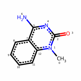 Cn1c(=O)nc(N)c2ccccc21